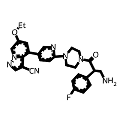 CCOc1cc(-c2ccc(N3CCN(C(=O)C(CN)c4ccc(F)cc4)CC3)nc2)c2c(C#N)cnn2c1